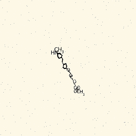 CNc1ccc(/C=C/c2ccc(OCCOCCOCCOS(C)(=O)=O)cc2)cc1